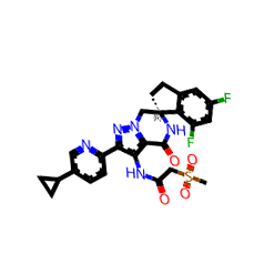 CS(=O)(=O)CC(=O)Nc1c(-c2ccc(C3CC3)cn2)nn2c1C(=O)N[C@@]1(CCc3cc(F)cc(F)c31)C2